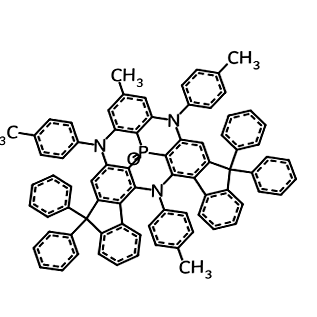 Cc1ccc(N2c3cc(C)cc4c3P3(=O)c5c2cc2c(c5N(c5ccc(C)cc5)c5c6c(cc(c53)N4c3ccc(C)cc3)C(c3ccccc3)(c3ccccc3)c3ccccc3-6)-c3ccccc3C2(c2ccccc2)c2ccccc2)cc1